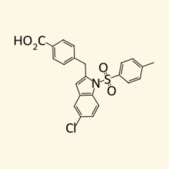 Cc1ccc(S(=O)(=O)n2c(Cc3ccc(C(=O)O)cc3)cc3cc(Cl)ccc32)cc1